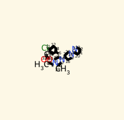 C[C@@H](CN1C[C@H](Cc2ccc(Cl)cc2)N(C2CCN(c3ccccn3)CC2)C[C@@H]1C)OC(=O)C(F)(F)F